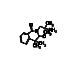 CC(C)(N)CN1C(=O)c2ccccc2C(C)(C)C1=O